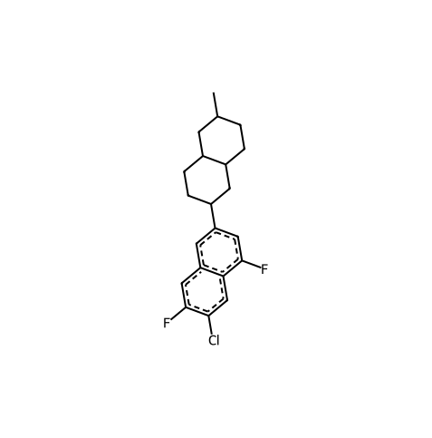 CC1CCC2CC(c3cc(F)c4cc(Cl)c(F)cc4c3)CCC2C1